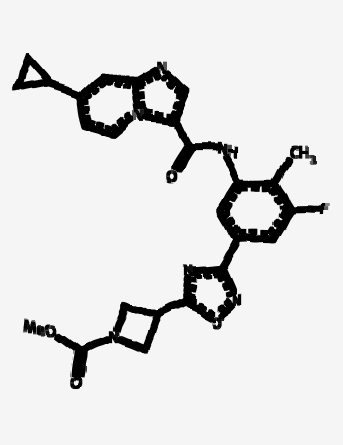 COC(=O)N1CC(c2nc(-c3cc(F)c(C)c(NC(=O)c4cnc5cc(C6CC6)ccn45)c3)no2)C1